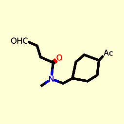 CC(=O)C1CCC(CN(C)C(=O)CCC=O)CC1